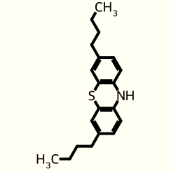 CCCCc1ccc2c(c1)Sc1cc(CCCC)ccc1N2